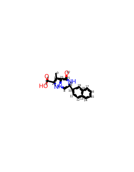 Cc1c(C(=O)O)nn2cc(-c3ccc4ccccc4c3)[nH]c(=O)c12